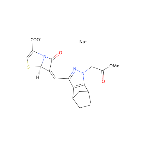 COC(=O)Cn1nc(C=C2C(=O)N3C(C(=O)[O-])=CS[C@H]23)c2c1C1CCC2C1.[Na+]